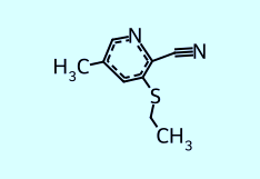 CCSc1cc(C)cnc1C#N